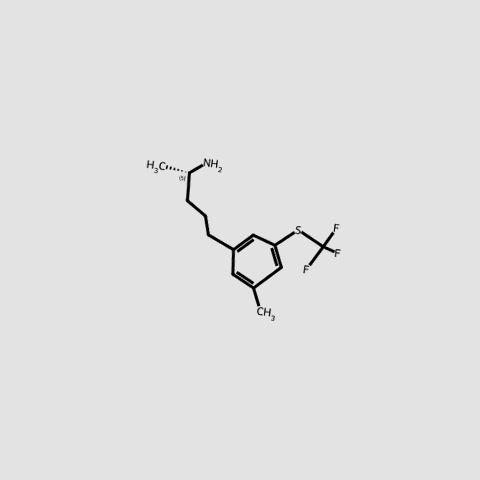 Cc1cc(CCC[C@H](C)N)cc(SC(F)(F)F)c1